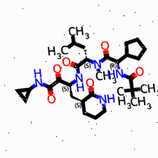 CC(C)C[C@@H](C(=O)N[C@@H](C[C@@H]1CCCNC1=O)C(=O)C(=O)NC1CC1)N(C)C(=O)[C@H](NC(=O)C(C)(C)C)C1CCCC1